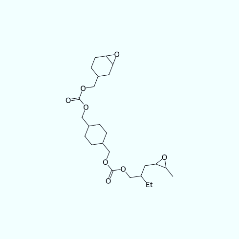 CCC(COC(=O)OCC1CCC(COC(=O)OCC2CCC3OC3C2)CC1)CC1OC1C